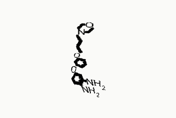 Nc1ccc(Oc2cccc(OCCCCN3CCOCC3)c2)cc1N